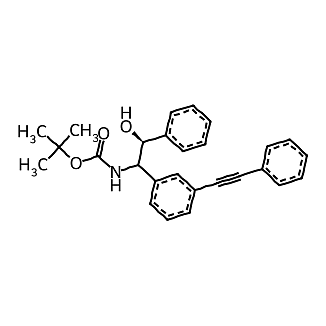 CC(C)(C)OC(=O)NC(c1cccc(C#Cc2ccccc2)c1)[C@@H](O)c1ccccc1